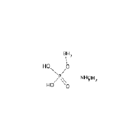 BOP(=O)(O)O.N.O